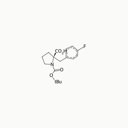 CC(C)(C)OC(=O)N1CCC[C@@]1(Cc1ccc(F)cc1)C(=O)O